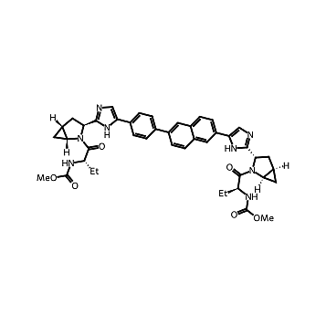 CC[C@H](NC(=O)OC)C(=O)N1[C@@H]2C[C@@H]2C[C@H]1c1ncc(-c2ccc(-c3ccc4cc(-c5cnc([C@@H]6C[C@H]7C[C@H]7N6C(=O)[C@H](CC)NC(=O)OC)[nH]5)ccc4c3)cc2)[nH]1